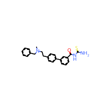 CN(CCc1ccc(-c2cccc(C(=O)NC(N)=S)c2)cc1)Cc1ccccc1